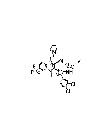 C=CCOC(=O)NC1CN(/C(=N\C#N)Nc2cc(C(F)(F)F)ccc2OCCN2CCCC2)N=C1c1ccc(Cl)c(Cl)c1